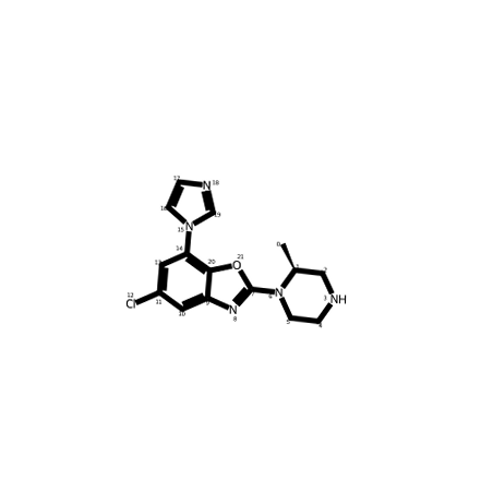 C[C@H]1CNCCN1c1nc2cc(Cl)cc(-n3ccnc3)c2o1